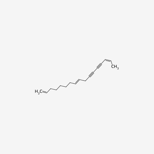 C=CCCCCCC=CCC#CC#C/C=C\C